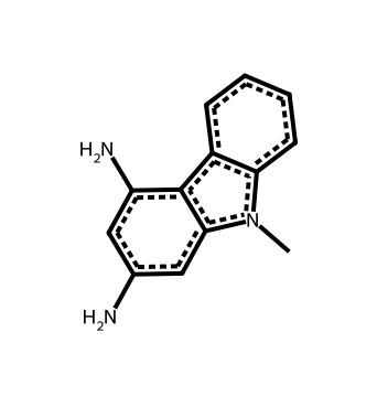 Cn1c2ccccc2c2c(N)cc(N)cc21